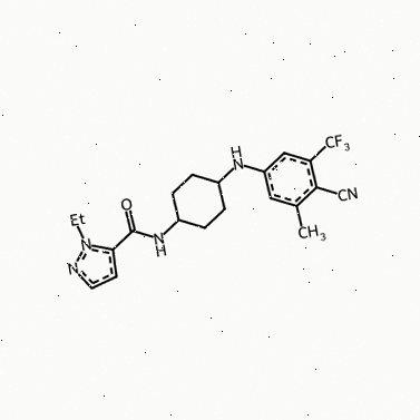 CCn1nccc1C(=O)NC1CCC(Nc2cc(C)c(C#N)c(C(F)(F)F)c2)CC1